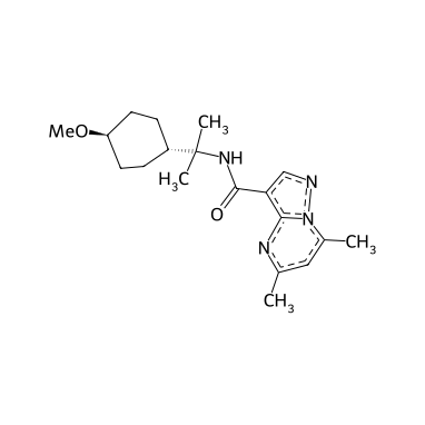 CO[C@H]1CC[C@H](C(C)(C)NC(=O)c2cnn3c(C)cc(C)nc23)CC1